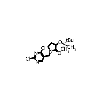 CC(C)(C)[Si](C)(C)OC1CCN(Cc2cnc(Cl)nc2Cl)C1=O